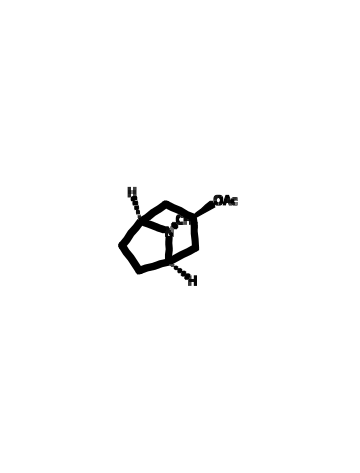 CC(=O)O[C@H]1C[C@H]2CC[C@@H](C1)N2C